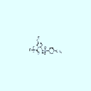 CCc1ccc(NS(=O)(=O)c2ccc(C)cc2)c(C(=O)C(F)(F)F)c1